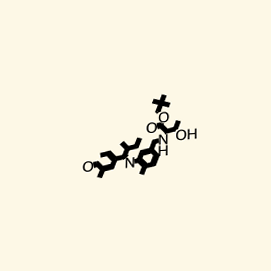 C/C=C(\C=C(\C)C=O)C(=N/c1cc(CN[C@H](C(=O)OCC(C)(C)C)C(C)O)ccc1C)/C(C)CC